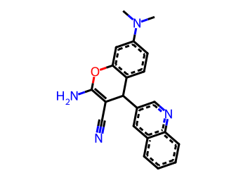 CN(C)c1ccc2c(c1)OC(N)=C(C#N)C2c1cnc2ccccc2c1